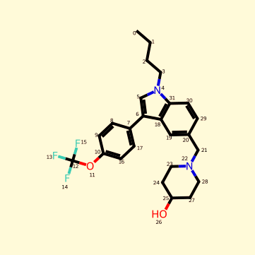 CCCCn1cc(-c2ccc(OC(F)(F)F)cc2)c2cc(CN3CCC(O)CC3)ccc21